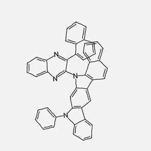 c1ccc(-n2c3ccccc3c3cc4c5ccc6ccccc6c5n(-c5nc6ccccc6nc5-c5cccc6ccccc56)c4cc32)cc1